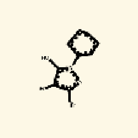 CC(C)c1nn(-c2ccccc2)c(O)c1C(C)C